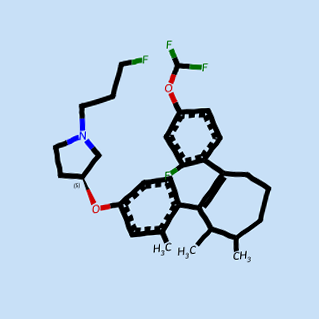 Cc1cc(O[C@H]2CCN(CCCF)C2)ccc1C1=C(c2ccc(OC(F)F)cc2F)CCCC(C)C1C